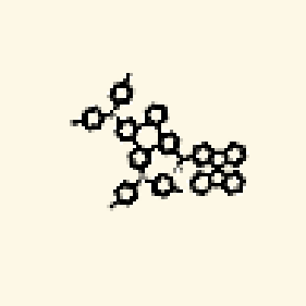 Cc1ccc(N(c2ccc(C)cc2)c2ccc3c(c2)-c2ccccc2-c2ccc(C(=O)c4ccc5c(c4)C4(c6ccccc6-5)c5ccccc5C5C=CC=CC54)cc2-c2cc(N(c4ccc(C)cc4)c4ccc(C)cc4)ccc2-3)cc1